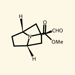 COC(=O)N1[C@@H]2CC[C@H]1C[C@H](C=O)C2